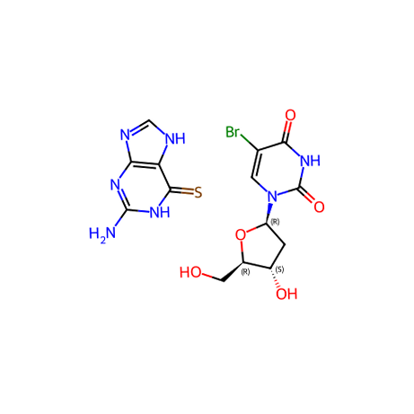 Nc1nc2nc[nH]c2c(=S)[nH]1.O=c1[nH]c(=O)n([C@H]2C[C@H](O)[C@@H](CO)O2)cc1Br